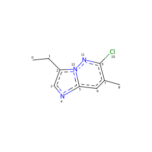 CCc1cnc2cc(C)c(Cl)nn12